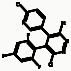 CCc1nnc(Cl)c(-c2c(F)cc(F)cc2F)c1-c1ccc(Cl)nc1